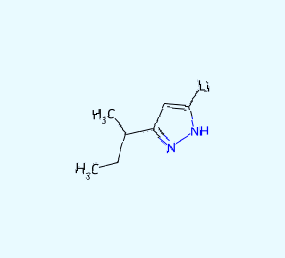 [Li][c]1cc(C(C)CC)n[nH]1